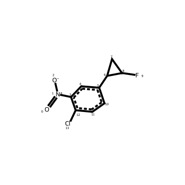 O=[N+]([O-])c1cc(C2C[C]2F)ccc1Cl